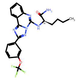 CCCC[C@@H](Nc1nc2ccccc2c2nc(-c3cccc(OC(F)(F)F)c3)nn12)C(N)=O